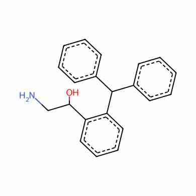 NCC(O)c1ccccc1C(c1ccccc1)c1ccccc1